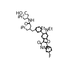 CCN(CC)c1cc2oc(-c3ccc(F)cc3)c(C(=O)NC)c2cc1-c1cccc(CC(CC(=O)N[C@H](CC(=O)O)CC(C)C)CC(C)C)c1